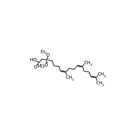 CCOP(=O)(CCCC=C(C)CCC=C(C)CCC=C(C)C)CP(=O)(O)O